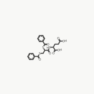 O=C(O)CCC(NC(=O)C(CSC(=O)c1ccccc1)SC(=O)c1ccccc1)C(=O)O